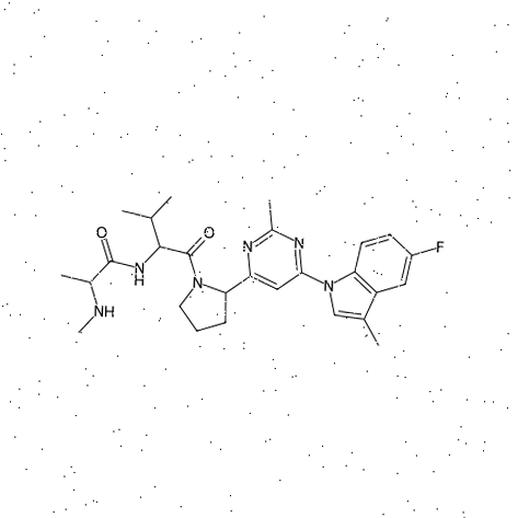 CNC(C)C(=O)NC(C(=O)N1CCCC1c1cc(-n2cc(C)c3cc(F)ccc32)nc(C)n1)C(C)C